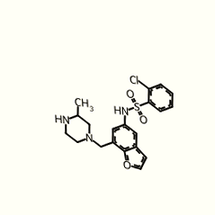 CC1CN(Cc2cc(NS(=O)(=O)c3ccccc3Cl)cc3ccoc23)CCN1